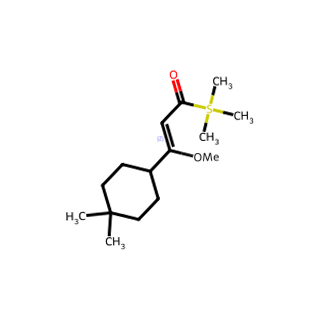 CO/C(=C\C(=O)S(C)(C)C)C1CCC(C)(C)CC1